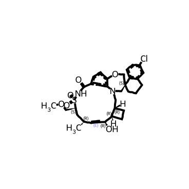 COC[C@@H]1C[C@@H](C)/C=C/[C@H](O)[C@@H]2CC[C@H]2CN2C[C@@]3(CCCc4cc(Cl)ccc43)COc3ccc(cc32)C(=O)NS1(=O)=O